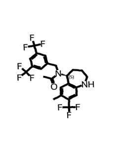 CC(=O)N(Cc1cc(C(F)(F)F)cc(C(F)(F)F)c1)[C@H]1CCCNc2cc(C(F)(F)F)c(C)cc21